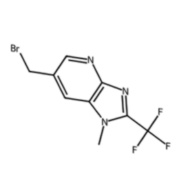 Cn1c(C(F)(F)F)nc2ncc(CBr)cc21